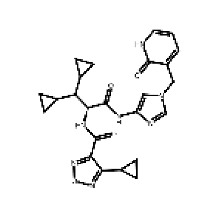 O=C(N[C@H](C(=O)Nc1cn(Cc2ccc[nH]c2=O)cn1)C(C1CC1)C1CC1)c1nonc1C1CC1